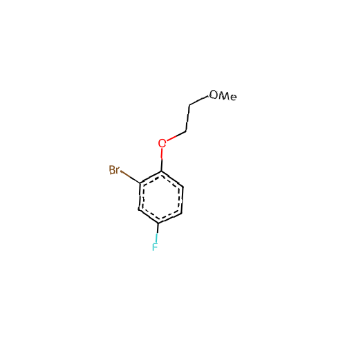 COCCOc1ccc(F)cc1Br